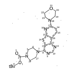 CC(C)(C)OC(=O)N1CCN(c2ncnc3c2sc2nc(N4CCOCC4)ccc23)CC1